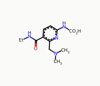 CCNC(=O)c1ccc(NC(=O)O)nc1CN(C)C